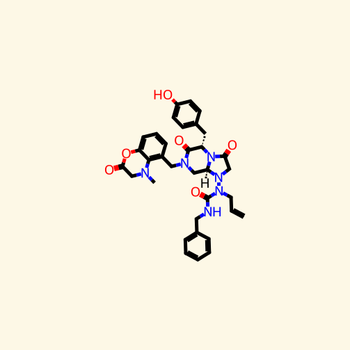 C=CCN(C(=O)NCc1ccccc1)N1CC(=O)N2[C@@H](Cc3ccc(O)cc3)C(=O)N(Cc3cccc4c3N(C)CC(=O)O4)C[C@@H]21